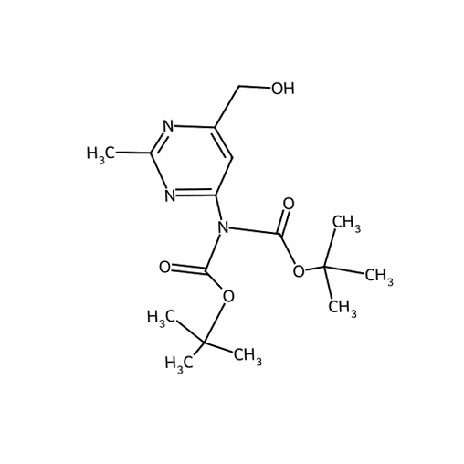 Cc1nc(CO)cc(N(C(=O)OC(C)(C)C)C(=O)OC(C)(C)C)n1